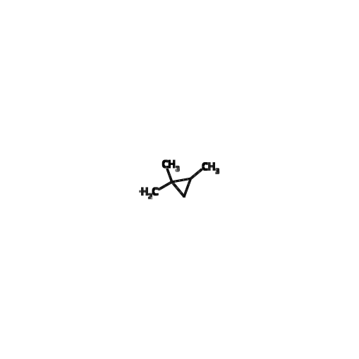 [CH2]C1(C)CC1C